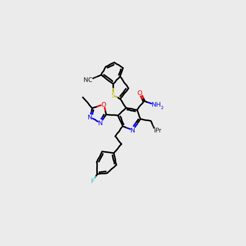 Cc1nnc(-c2c(CCc3ccc(F)cc3)nc(CC(C)C)c(C(N)=O)c2-c2cc3cccc(C#N)c3s2)o1